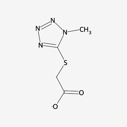 Cn1nnnc1SCC([O])=O